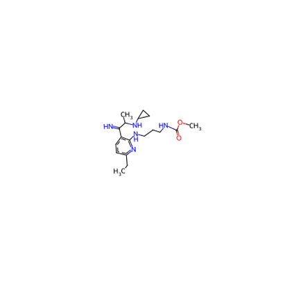 CCc1ccc(C(=N)C(C)NC2CC2)c(NCCCNC(=O)OC)n1